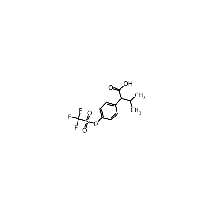 CC(C)C(C(=O)O)c1ccc(OS(=O)(=O)C(F)(F)F)cc1